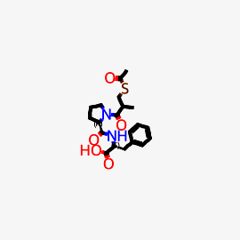 CC(=O)SCC(C)C(=O)N1CCC[C@@H]1C(=O)N[C@@H](Cc1ccccc1)C(=O)O